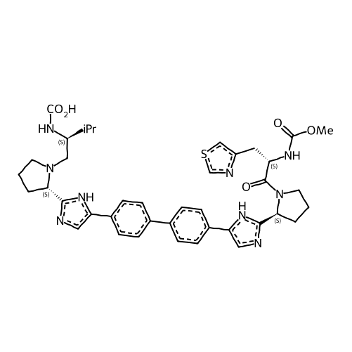 COC(=O)N[C@@H](Cc1cscn1)C(=O)N1CCC[C@H]1c1ncc(-c2ccc(-c3ccc(-c4cnc([C@@H]5CCCN5C[C@@H](NC(=O)O)C(C)C)[nH]4)cc3)cc2)[nH]1